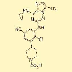 N#Cc1cc(Nc2nc(NC3CC3)c3ncc(C#N)n3n2)c(Cl)c(C2CCN(C(=O)O)CC2)c1